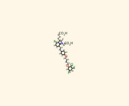 Cc1c(CCCC(=O)O)c2c(F)ccc(/C=C/c3ccc(OC/C=C/COc4cc(F)cc(F)c4Cl)cc3)c2n1CC(=O)O